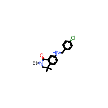 CCN1CC(C)(C)c2ccc(NCc3ccc(Cl)cc3)cc2C1=O